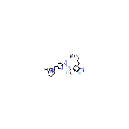 C=Nc1c(F)cc(C(=N/CNc2ccc(CN3CC4CC[C@@H](C3)N4CC)cn2)/C(F)=C\C)cc1CCCNC